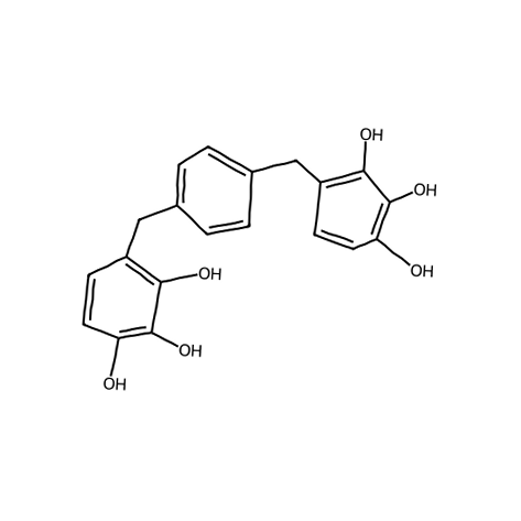 Oc1ccc(Cc2ccc(Cc3ccc(O)c(O)c3O)cc2)c(O)c1O